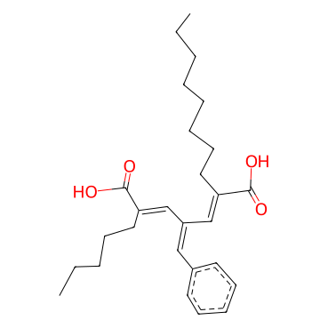 CCCCCCCCC(=CC(=Cc1ccccc1)C=C(CCCCC)C(=O)O)C(=O)O